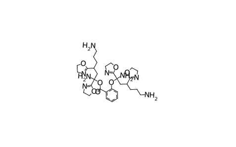 NCCCC(CC(N)(OC(=O)c1ccccc1OC(N)(CC(CCCN)C1=NCCO1)C1=NCCO1)C1=NCCO1)C1=NCCO1